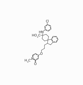 Cn1ccc(OCCCC2Cc3ccccc3C23CCC(Nc2cccc(Cl)c2)(C(=O)O)CC3)cc1=O